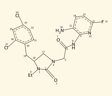 CCN1C(=O)N(CC(=O)Nc2nc(F)ccc2N)CC1Cc1ccc(Cl)cc1Cl